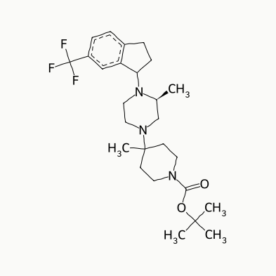 C[C@H]1CN(C2(C)CCN(C(=O)OC(C)(C)C)CC2)CCN1C1CCc2ccc(C(F)(F)F)cc21